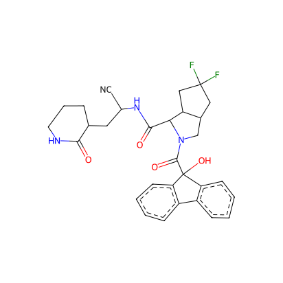 N#CC(CC1CCCNC1=O)NC(=O)C1C2CC(F)(F)CC2CN1C(=O)C1(O)c2ccccc2-c2ccccc21